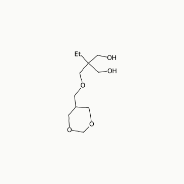 CCC(CO)(CO)COCC1COCOC1